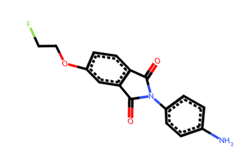 Nc1ccc(N2C(=O)c3ccc(OCCF)cc3C2=O)cc1